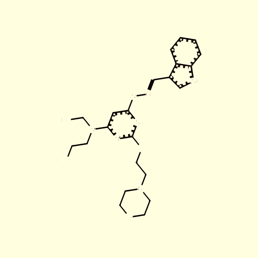 CCCN(CC)c1cc(N/N=C/c2c[nH]c3ccccc23)nc(OCCN2CCOCC2)n1